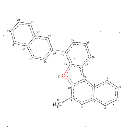 Cc1cc2ccccc2c2c1oc1c(-c3ccc4ccccc4c3)cccc12